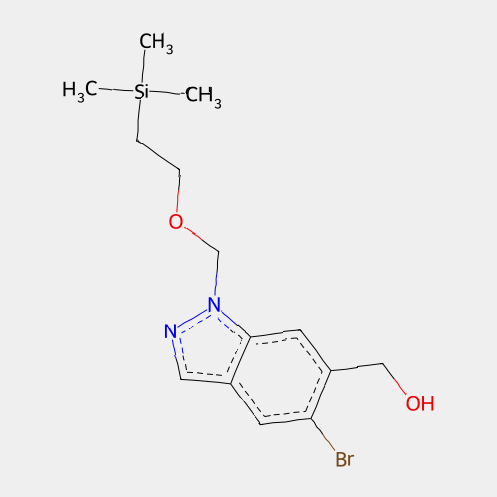 C[Si](C)(C)CCOCn1ncc2cc(Br)c(CO)cc21